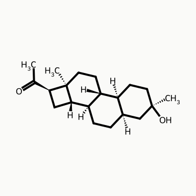 CC(=O)[C@@H]1C[C@H]2[C@@H]3CC[C@@H]4C[C@](C)(O)CC[C@@H]4[C@H]3CC[C@]12C